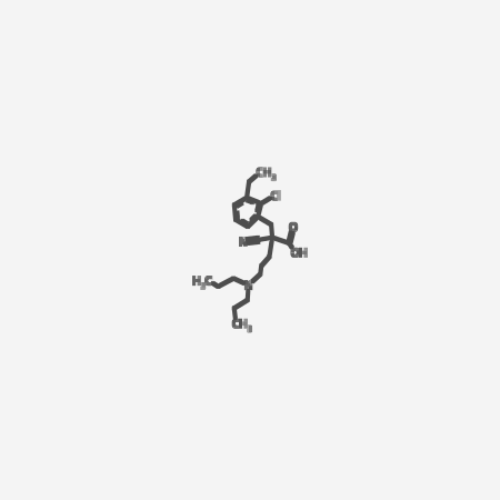 CCCN(CCC)CCCC(C#N)(Cc1cccc(CC)c1Cl)C(=O)O